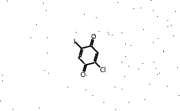 O=C1C=C(I)C(=O)C=C1Cl